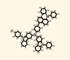 Fc1ccc(-n2c3ccccc3c3cc(N(c4ccc(-c5ccc6c7c(cccc57)N(c5ccccc5)c5ccccc5-6)cc4)c4ccc5c(c4)c4ccccc4n5-c4ccccc4)ccc32)cc1